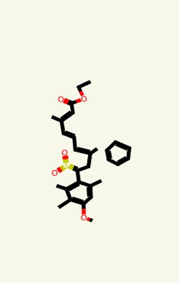 CCOC(=O)C=C(C)C=CC=C(C)CC(c1c(C)cc(OC)c(C)c1C)=S(=O)=O.c1ccccc1